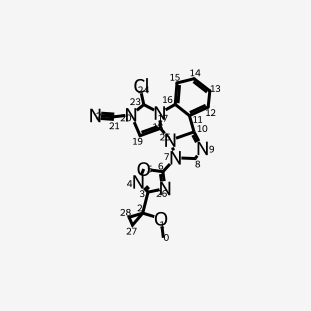 COC1(c2noc(N3CN=C4c5ccccc5N5C(=CN(C#N)C5Cl)N43)n2)CC1